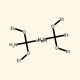 CCCCCC(N)(OCC)OCC.CCOC(N)(CC)OCC